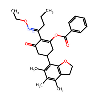 CCC/C(=N\OCC)C1=C(OC(=O)c2ccccc2)CC(c2c(C)c(C)c(C)c3c2OCC3)CC1=O